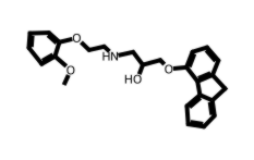 COc1ccccc1OCCNCC(O)COc1cccc2c1-c1ccccc1C2